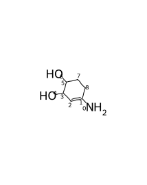 NC1=CC(O)C(O)CC1